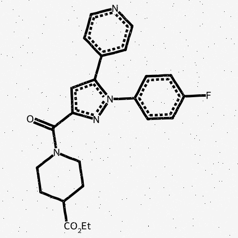 CCOC(=O)C1CCN(C(=O)c2cc(-c3ccncc3)n(-c3ccc(F)cc3)n2)CC1